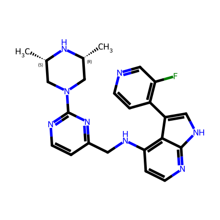 C[C@@H]1CN(c2nccc(CNc3ccnc4[nH]cc(-c5ccncc5F)c34)n2)C[C@H](C)N1